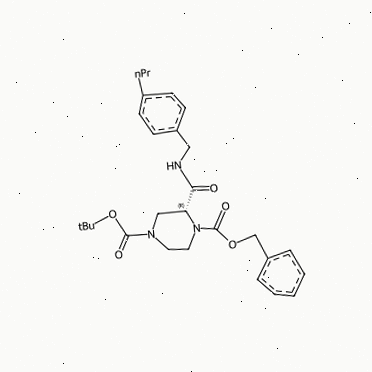 CCCc1ccc(CNC(=O)[C@H]2CN(C(=O)OC(C)(C)C)CCN2C(=O)OCc2ccccc2)cc1